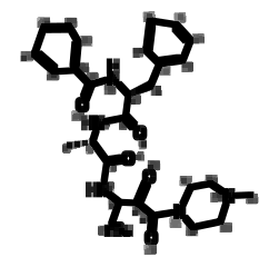 CCCCC(NC(=O)[C@H](C)NC(=O)[C@H](Cc1ccccc1)NC(=O)c1ccccc1)C(=O)C(=O)N1CCN(C)CC1